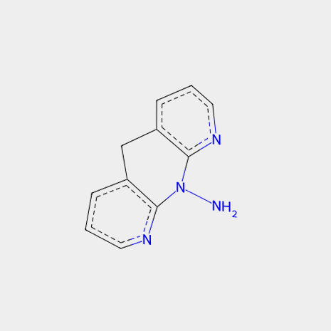 NN1c2ncccc2Cc2cccnc21